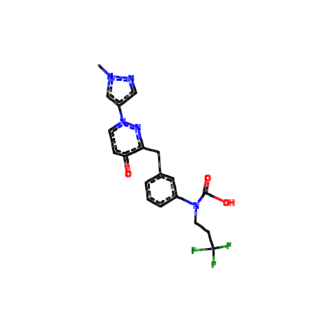 Cn1cc(-n2ccc(=O)c(Cc3cccc(N(CCC(F)(F)F)C(=O)O)c3)n2)cn1